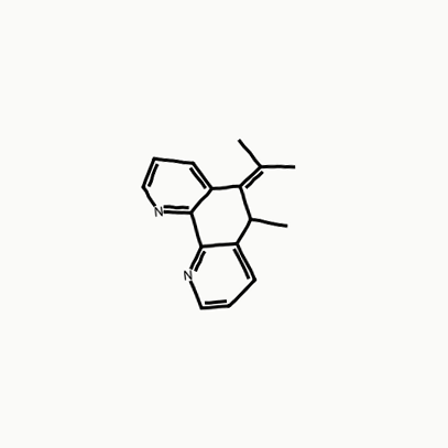 CC(C)=C1c2cccnc2-c2ncccc2C1C